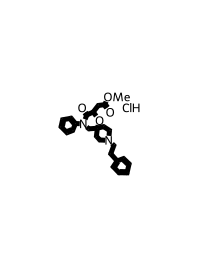 COC(=O)CC1OC2(CCN(CCc3ccccc3)CC2)CN(c2ccccc2)C1=O.Cl